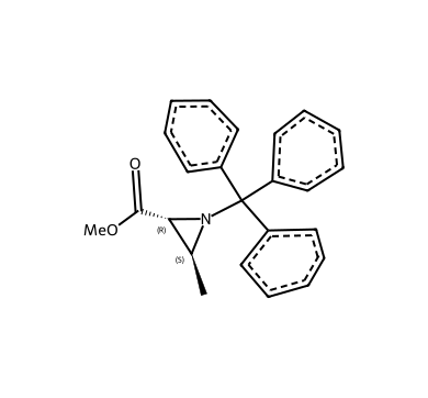 COC(=O)[C@H]1[C@H](C)N1C(c1ccccc1)(c1ccccc1)c1ccccc1